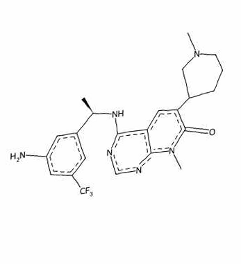 C[C@@H](Nc1ncnc2c1cc(C1CCCN(C)C1)c(=O)n2C)c1cc(N)cc(C(F)(F)F)c1